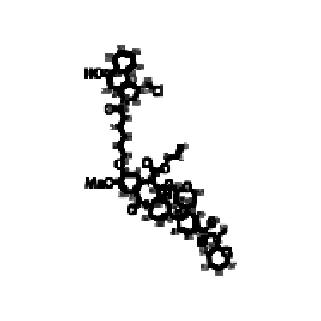 C=CCOC(=O)N1c2cc(OCCCCCC(=O)N3C[C@@H](CCl)c4c3cc(O)c3ccccc43)c(OC)cc2C(=O)N2CC=C(c3ccc(S(=O)(=O)N(C)C4CCCCO4)cc3)C[C@H]2C1OC1CCCCO1